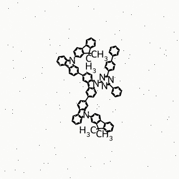 CC1(C)c2ccccc2-c2ccc(-n3c4ccccc4c4ccc(-c5ccc6c(c5)c5cc(-c7ccc8c9ccccc9n(-c9ccc%10c(c9)C(C)(C)c9ccccc9-%10)c8c7)ccc5n6-c5nc(-c6ccccc6)nc(-c6ccc(-c7ccccc7)cc6)n5)cc43)cc21